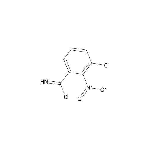 N=C(Cl)c1cccc(Cl)c1[N+](=O)[O-]